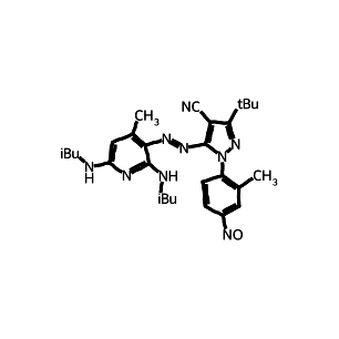 CCC(C)Nc1cc(C)c(N=Nc2c(C#N)c(C(C)(C)C)nn2-c2ccc(N=O)cc2C)c(NC(C)CC)n1